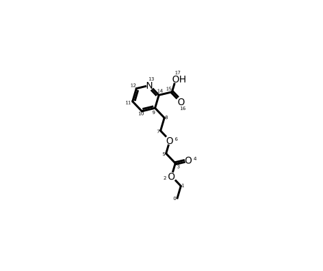 CCOC(=O)COCCc1cccnc1C(=O)O